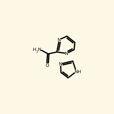 NC(=O)c1ncccn1.c1c[nH]cn1